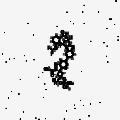 CC(C)(C)[S@+]([O-])N[C@]1(c2ncc(-c3ccc4nc5n(c4c3)[C@@H]3C[C@H]5NC(=O)c4cccc(OC(F)F)c43)cc2F)C[C@](C)(O[Si](C)(C)C(C)(C)C)C1